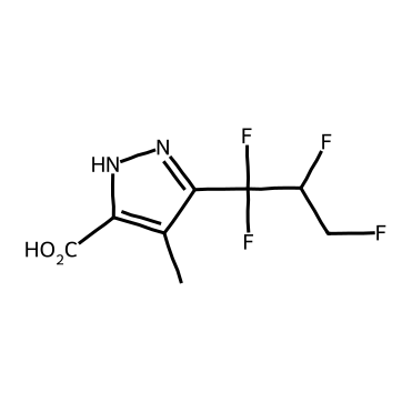 Cc1c(C(F)(F)C(F)CF)n[nH]c1C(=O)O